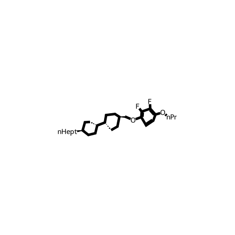 CCCCCCC[C@H]1CC[C@H]([C@H]2CC[C@H](COc3ccc(OCCC)c(F)c3F)CC2)CC1